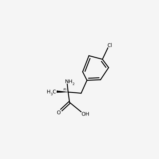 C[C@@](N)(Cc1ccc(Cl)cc1)C(=O)O